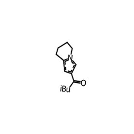 CCC(C)C(=O)c1cc2n(c1)CCCC2